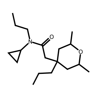 CCCN(C(=O)CC1(CCC)CC(C)OC(C)C1)C1CC1